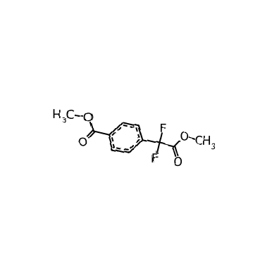 COC(=O)c1ccc(C(F)(F)C(=O)OC)cc1